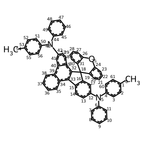 Cc1ccc(N(c2ccccc2)c2ccc3c(c2)C2(c4ccccc4Oc4ccccc42)c2c-3c3ccccc3c3cc(N(c4ccccc4)c4ccc(C)cc4)ccc23)cc1